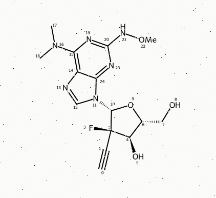 C#C[C@@]1(F)[C@H](O)[C@@H](CO)O[C@H]1n1cnc2c(N(C)C)nc(NOC)nc21